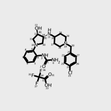 NC(=O)Nc1ccccc1N1C[C@@H](O)[C@H](NC2CCN(Cc3ccc(Cl)cc3)CC2)C1.O=C(O)C(F)(F)F